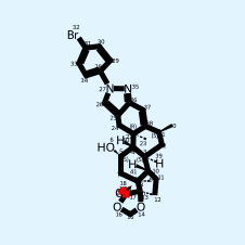 C[C@H]1C[C@@H]2[C@H]([C@@H](O)C[C@@]3(C)[C@H]2CC[C@@]32OCOC23COCO3)[C@@]2(C)Cc3cn(-c4ccc(Br)cc4)nc3C=C12